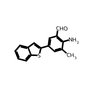 Cc1cc(-c2cc3ccccc3s2)cc(C=O)c1N